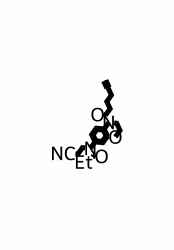 C#CCCCC(=O)N1CCOc2cc(N(CCC#N)C(=O)CC)ccc21